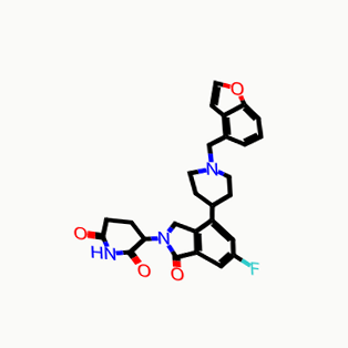 O=C1CCC(N2Cc3c(cc(F)cc3C3CCN(Cc4cccc5occc45)CC3)C2=O)C(=O)N1